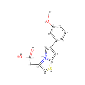 COc1cccc(-c2cc3scc(CC(=O)O)n3c2)c1